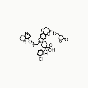 C[C@@H](COc1ccnc2c1[C@H](C)CCC2)C[C@H]1Cc2cc3c(cc2C12CCC(Nc1cccc(Cl)c1)(C(=O)O)CC2)O[C@@H](COCC1CC(=O)N(C)C1)CCO3